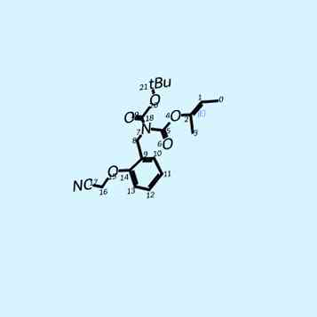 C/C=C(\C)OC(=O)N(Cc1ccccc1OCC#N)C(=O)OC(C)(C)C